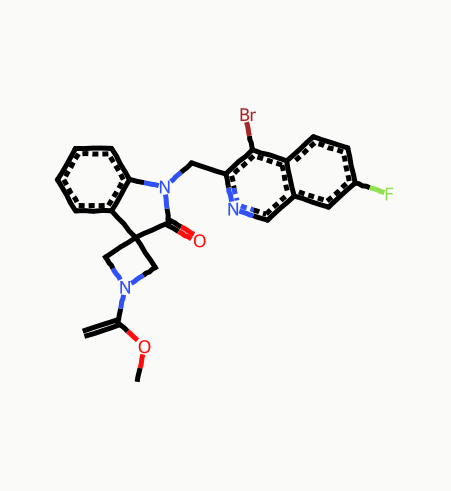 C=C(OC)N1CC2(C1)C(=O)N(Cc1ncc3cc(F)ccc3c1Br)c1ccccc12